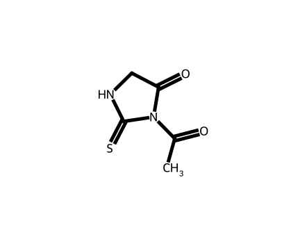 CC(=O)N1C(=O)CNC1=S